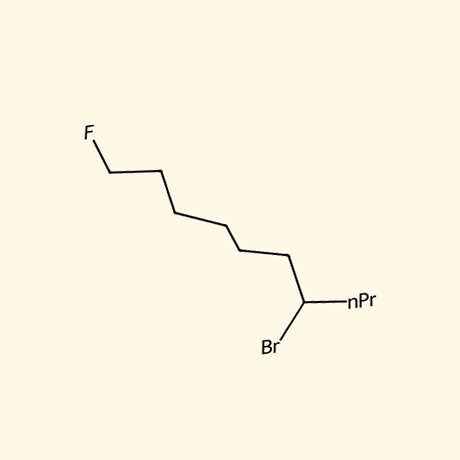 CCCC(Br)CCCCCCF